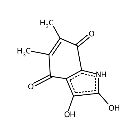 CC1=C(C)C(=O)c2c([nH]c(O)c2O)C1=O